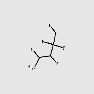 [CH2]C(F)C(F)C(F)(F)CF